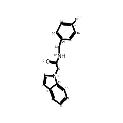 O=C(Cn1ccc2ccccc21)NCc1ccc(F)cc1